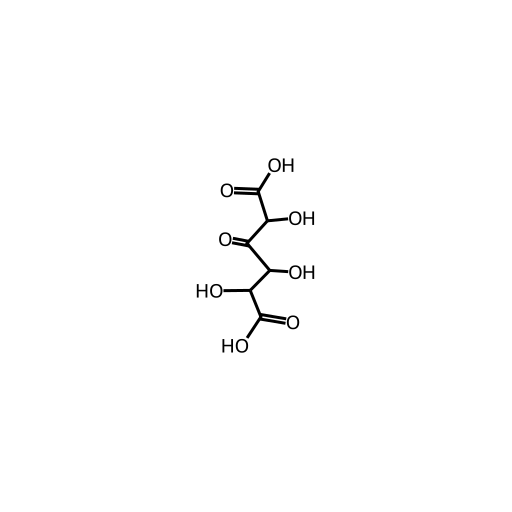 O=C(O)C(O)C(=O)C(O)C(O)C(=O)O